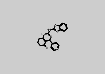 O=C1CCCC2=C1C(c1ccncc1)N=C(Nc1nc3ccccc3o1)N2